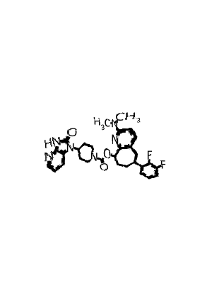 CN(C)c1ccc2c(n1)C(OC(=O)N1CCC(n3c(=O)[nH]c4ncccc43)CC1)CCC(c1cccc(F)c1F)C2